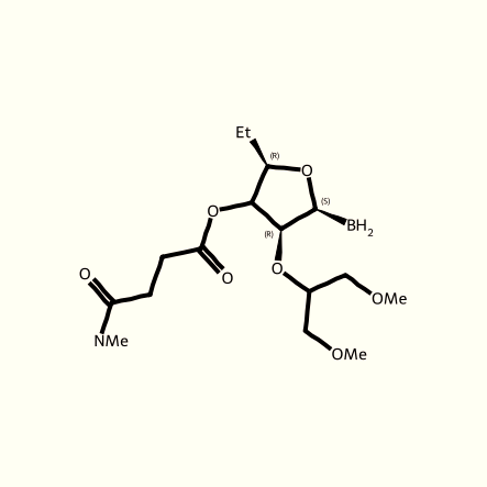 B[C@@H]1O[C@H](CC)C(OC(=O)CCC(=O)NC)[C@@H]1OC(COC)COC